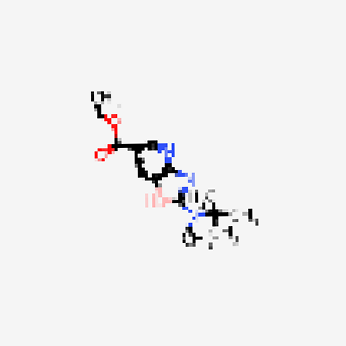 CCOC(=O)c1cnc2c(c1)BC(N(C)C(C)(C)C)=N2